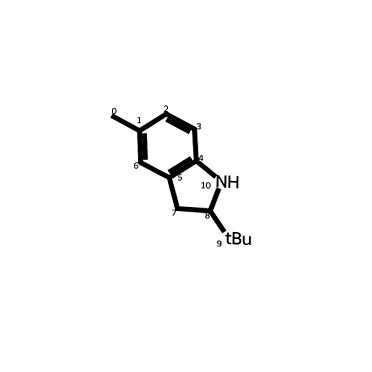 Cc1ccc2c(c1)CC(C(C)(C)C)N2